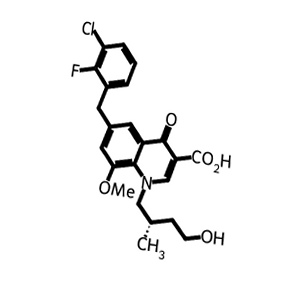 COc1cc(Cc2cccc(Cl)c2F)cc2c(=O)c(C(=O)O)cn(C[C@@H](C)CCO)c12